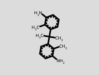 Cc1c(N)cccc1C(C)(C)c1cccc(N)c1C